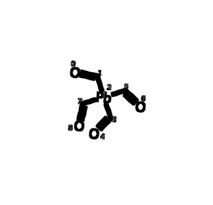 O=[CH][Pb]([CH]=O)([CH]=O)[CH]=O